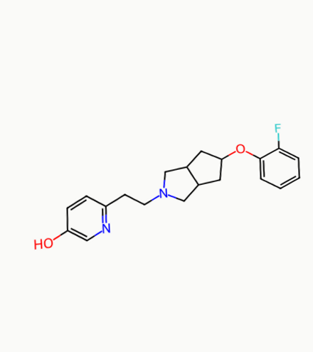 Oc1ccc(CCN2CC3CC(Oc4ccccc4F)CC3C2)nc1